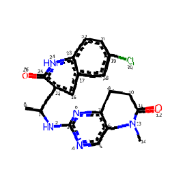 CC(Nc1ncc2c(n1)CCC(=O)N2C)c1cc2cc(Cl)ccc2[nH]c1=O